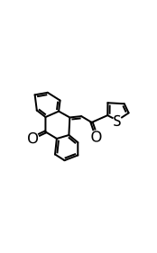 O=C(C=C1c2ccccc2C(=O)c2ccccc21)c1cccs1